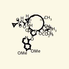 COc1cc2ccnc(O[C@@H]3C[C@H]4C(=O)N[C@]5(C(=O)NS(=O)(=O)C6CC6)C[C@H]5C=CCC[C@H](C)C[C@@H](C)[C@H](N(C(=O)O)C(C)(C)C(F)(F)F)C(=O)N4C3)c2cc1OC